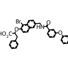 O=C(NCc1ccc2c(Br)c(OC(Cc3ccccc3)C(=O)O)ccc2c1)c1cccc(Oc2ccccc2)c1